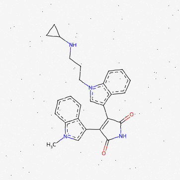 Cn1cc(C2=C(c3cn(CCCNC4CC4)c4ccccc34)C(=O)NC2=O)c2ccccc21